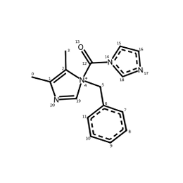 CC1=C(C)[N+](Cc2ccccc2)(C(=O)n2ccnc2)C=N1